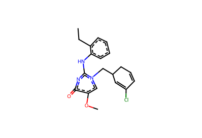 CCc1ccccc1Nc1nc(=O)c(OC)cn1CC1C=C(Cl)C=CC1